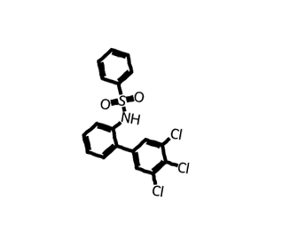 O=S(=O)(Nc1ccccc1-c1cc(Cl)c(Cl)c(Cl)c1)c1ccccc1